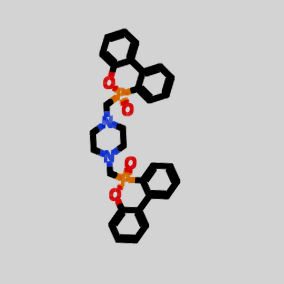 O=P1(CN2CCN(CP3(=O)Oc4ccccc4-c4ccccc43)CC2)Oc2ccccc2-c2ccccc21